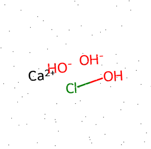 OCl.[Ca+2].[OH-].[OH-]